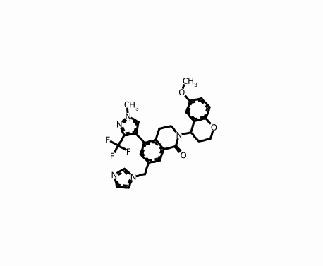 COc1ccc2c(c1)C(N1CCc3c(cc(Cn4ccnc4)cc3-c3cn(C)nc3C(F)(F)F)C1=O)CCO2